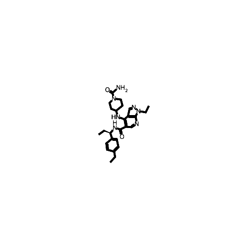 CCc1ccc([C@@H](CC)NC(=O)c2cnc3c(cnn3CC)c2NC2CCN(C(N)=O)CC2)cc1